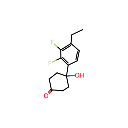 CCc1ccc(C2(O)CCC(=O)CC2)c(F)c1F